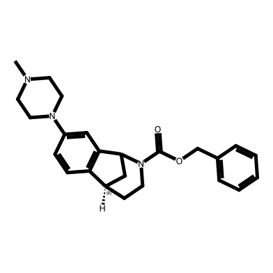 CN1CCN(c2ccc3c(c2)C2C[C@H]3CCN2C(=O)OCc2ccccc2)CC1